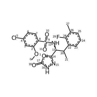 COc1cc(Cl)ccc1S(=O)(=O)N[C@H](c1n[nH]c(=O)o1)C(C)c1cccc(C)c1F